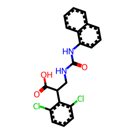 O=C(NCC(C(=O)O)c1c(Cl)cccc1Cl)Nc1cccc2ccccc12